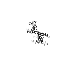 CC(C)C(=O)N1CCO[C@@H](O[C@H]2CC[C@]34C[C@]35CC[C@]3(C)C6[C@H](C)C[C@H](CN(C)C(=O)N(C)C)O[C@@H]6[C@H](O)[C@@]3(C)[C@@H]5CC[C@H]4C2(C)C)C1